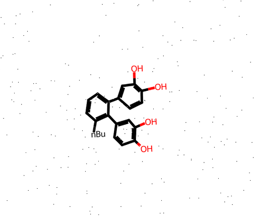 CCCCc1cccc(-c2ccc(O)c(O)c2)c1-c1ccc(O)c(O)c1